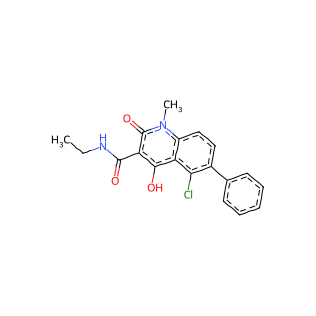 CCNC(=O)c1c(O)c2c(Cl)c(-c3ccccc3)ccc2n(C)c1=O